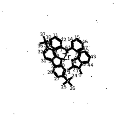 CC1=C(C)[CH]([Zr](=[C](c2ccccc2)c2ccccc2)[CH]2c3cc(C(C)(C)C)ccc3-c3ccc(C(C)(C)C)cc32)c2ccccc21